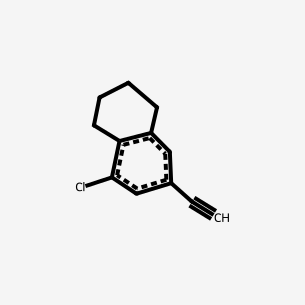 C#Cc1cc(Cl)c2c(c1)CCCC2